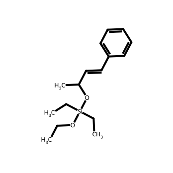 CCO[Si](CC)(CC)OC(C)C=Cc1ccccc1